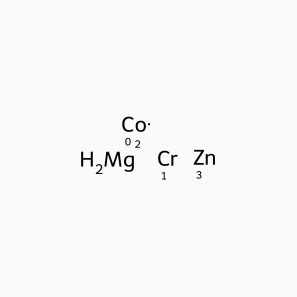 [Co].[Cr].[MgH2].[Zn]